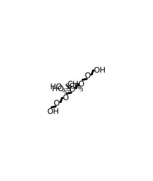 CS(=O)(=O)O.CS(=O)(=O)O.OCCOCCOCCOCCOCCOCCO